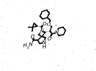 C[C@@H](OCC1CCCCC1)[C@H](C(=O)N1CCCCC1)C1N(C(=O)[C@H]2CC2(C)C)CC12CNCC2C(N)=O